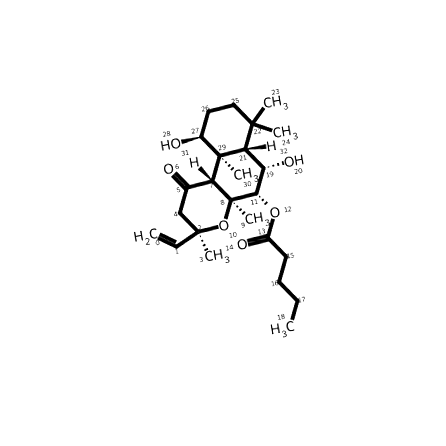 C=C[C@@]1(C)CC(=O)[C@H]2[C@](C)(O1)[C@@H](OC(=O)CCCC)[C@@H](O)[C@H]1C(C)(C)CC[C@H](O)[C@@]12C